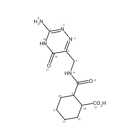 Nc1nnc(CNC(=O)C2CCCCC2C(=O)O)c(=O)[nH]1